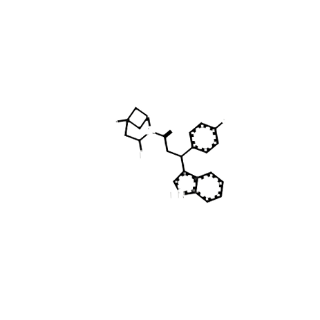 CCC1CC2(O)CC(C2)N1C(=O)CC(c1ccc(Cl)cc1)c1c[nH]c2ccccc12